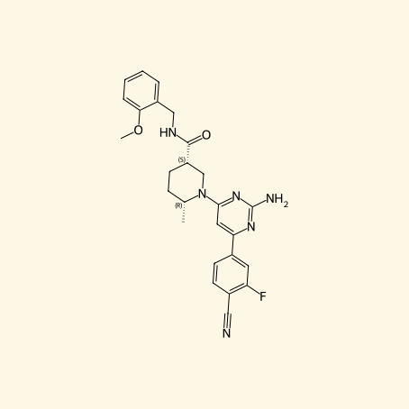 COc1ccccc1CNC(=O)[C@H]1CC[C@@H](C)N(c2cc(-c3ccc(C#N)c(F)c3)nc(N)n2)C1